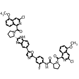 COc1cccc2c(C(=O)N3CCC[C@H]3C(=O)Nc3ccc(-c4ncc(-c5ccc6[nH]c([C@@H]7CCCN7C(=O)c7nc(Cl)cc8c(OC)cccc78)nc6c5)o4)cc3F)nc(Cl)cc12